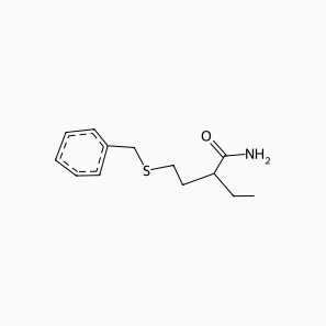 CCC(CCSCc1ccccc1)C(N)=O